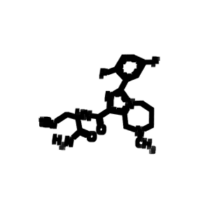 CN1CCCn2c(-c3cc(F)ccc3F)nc(C(=O)NC(CC(C)(C)C)C(N)=O)c2C1